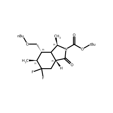 CCCCOC[C@@H]1C2[C@@H](C)N(C(=O)OC(C)(C)C)C(=O)[C@@H]2CC(F)(F)[C@H]1C